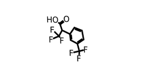 O=C(O)C(c1cccc(C(F)(F)F)c1)C(F)(F)F